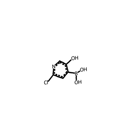 OB(O)c1cc(Cl)ncc1O